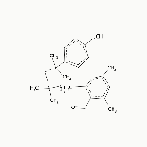 CC(C)(C)CC(C)(C)c1ccc(O)cc1.Cc1cc(C)c(C=O)c(C)c1